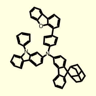 c1ccc(-n2c3ccccc3c3ccc(N(c4ccc(-c5cccc6c5oc5ccccc56)cc4)c4ccc5c(c4)-c4ccccc4C54C5CC6CC(C5)CC4C6)cc32)cc1